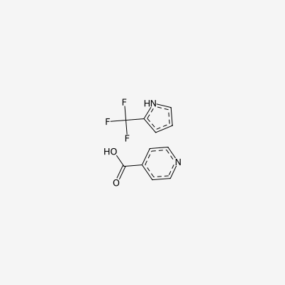 FC(F)(F)c1ccc[nH]1.O=C(O)c1ccncc1